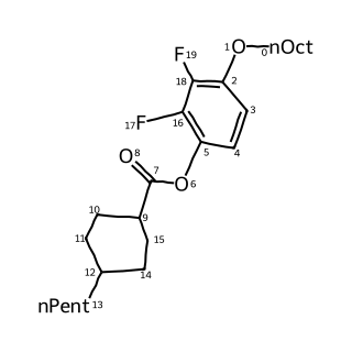 CCCCCCCCOc1ccc(OC(=O)C2CCC(CCCCC)CC2)c(F)c1F